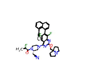 C#Cc1cccc2cccc(-c3c(F)cc4c(N5CCN(C(=O)C(=C)F)[C@@H](CC#N)C5)nc(OCC56CCCN5CCC6)nc4c3F)c12